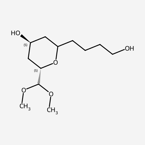 COC(OC)[C@@H]1C[C@@H](O)CC(CCCCO)O1